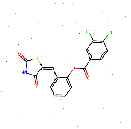 O=C1NC(=O)/C(=C\c2ccccc2OC(=O)c2ccc(Cl)c(Cl)c2)S1